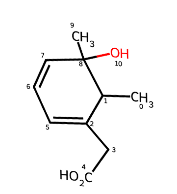 CC1C(CC(=O)O)=CC=CC1(C)O